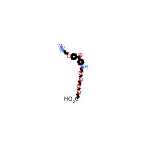 [N-]=[N+]=NCCCOc1ccc(C(=O)c2ccc(NCCOCCOCCOCCOCCC(=O)O)cc2)cc1